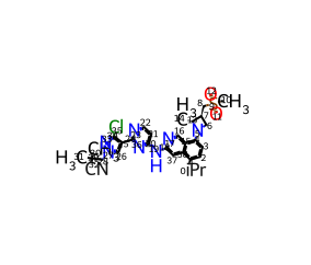 CC(C)c1ccc(N2C[C@H](CS(C)(=O)=O)[C@H]2C)c2cnc(Nc3ccnc(-c4cn(CC(C)(C)C#N)nc4Cl)n3)cc12